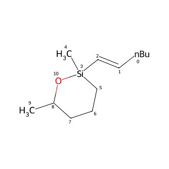 CCCCC=C[Si]1(C)CCCC(C)O1